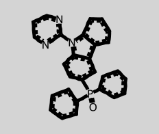 O=P(c1ccccc1)(c1ccccc1)c1ccc2c(c1)c1ccccc1n2-c1ncccn1